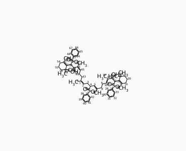 CC(=CCC(C=C(C)CCC=C(C)C(O)C(C1=C(C)CCCC1(C)C)S(=O)(=O)c1ccccc1)S(=O)(=O)c1ccccc1)CCC=C(C)C(O)C(C1=C(C)CCCC1(C)C)S(=O)(=O)c1ccccc1